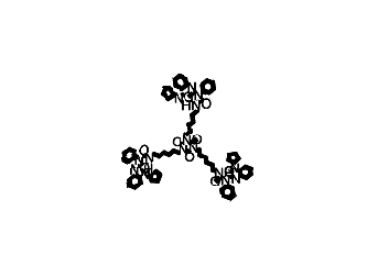 O=C(NCCCCCCn1c(=O)n(CCCCCCNC(=O)N(/C(=N/C2CCCCC2)ON=C2CCCC2)C2CCCCC2)c(=O)n(CCCCCCNC(=O)N(/C(=N/C2CCCCC2)ON=C2CCCC2)C2CCCCC2)c1=O)N(/C(=N/C1CCCCC1)OCN=C1CCCC1)C1CCCCC1